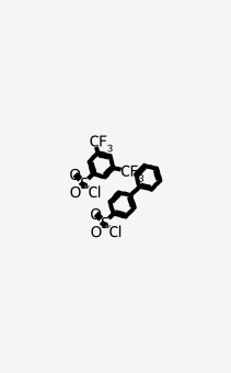 O=S(=O)(Cl)c1cc(C(F)(F)F)cc(C(F)(F)F)c1.O=S(=O)(Cl)c1ccc(-c2ccccc2)cc1